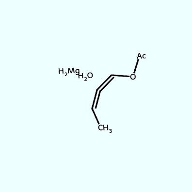 CC=C=COC(C)=O.O.[MgH2]